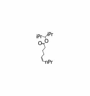 CCC/C=C\CCCC(=O)OC(C(C)C)C(C)C